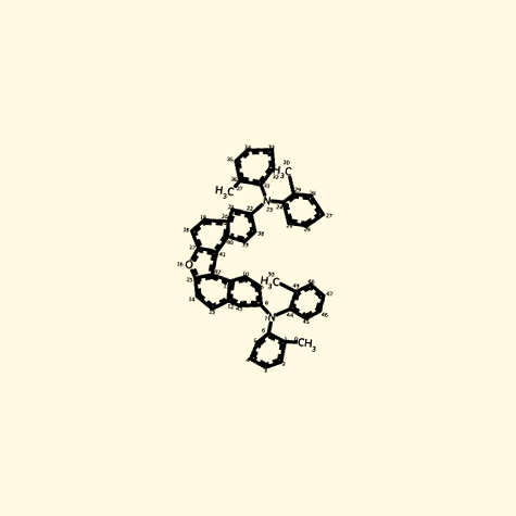 Cc1ccccc1N(c1ccc2c(ccc3oc4ccc5cc(N(c6ccccc6C)c6ccccc6C)ccc5c4c32)c1)c1ccccc1C